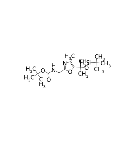 Cc1nc(CNC(=O)OC(C)(C)C)oc1C(C)(C)O[SiH2]C(C)(C)C